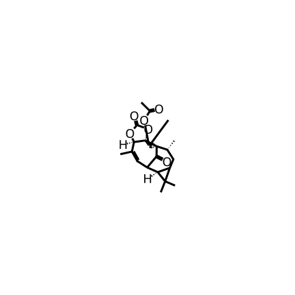 CC(=O)OC1C(C)=C[C@]23C(=O)C(C=C(C)[C@H]4OC(=O)O[C@]142)[C@H]1C(C[C@H]3C)C1(C)C